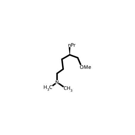 CCC[C@H](CCCN(C)C)COC